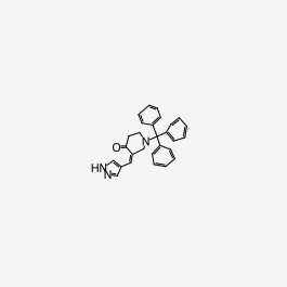 O=C1CCN(C(c2ccccc2)(c2ccccc2)c2ccccc2)C/C1=C/c1cn[nH]c1